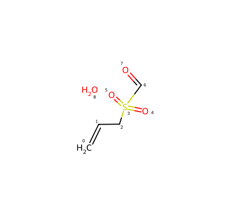 C=CCS(=O)(=O)C=O.O